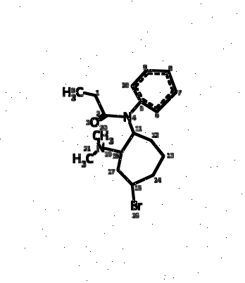 CCC(=O)N(c1ccccc1)C1CCCC(Br)CC1N(C)C